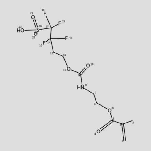 C=C(C)C(=O)OCCNC(=O)OCCC(F)(F)C(F)(F)S(=O)(=O)O